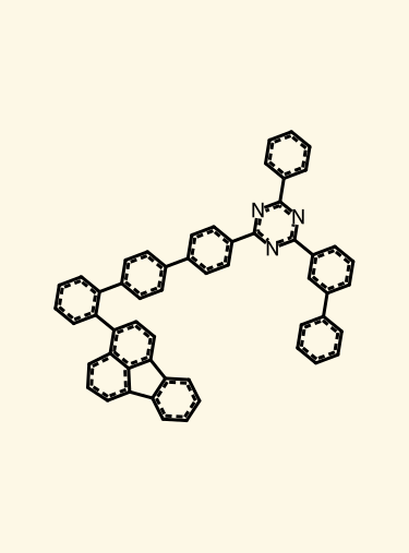 c1ccc(-c2cccc(-c3nc(-c4ccccc4)nc(-c4ccc(-c5ccc(-c6ccccc6-c6ccc7c8c(cccc68)-c6ccccc6-7)cc5)cc4)n3)c2)cc1